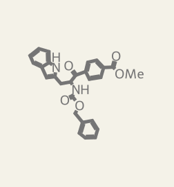 COC(=O)c1ccc(C(=O)C(Cc2cc3ccccc3[nH]2)NC(=O)OCc2ccccc2)cc1